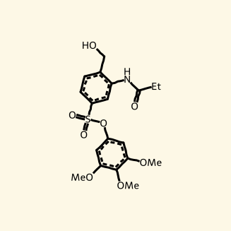 CCC(=O)Nc1cc(S(=O)(=O)Oc2cc(OC)c(OC)c(OC)c2)ccc1CO